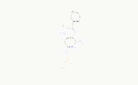 CCOC(=O)N(OS(=O)(=O)CCO)c1cc2c(c(N)n1)N=C(c1ccccc1)[C@H](C)N2